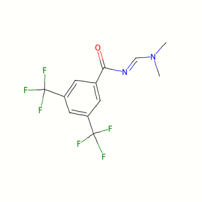 CN(C)C=NC(=O)c1cc(C(F)(F)F)cc(C(F)(F)F)c1